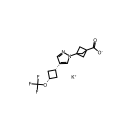 O=C([O-])C12CC(n3cc([C@H]4C[C@@H](OC(F)(F)F)C4)cn3)(C1)C2.[K+]